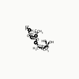 CCN(CC)c1ccc(NC(=O)c2cccc(CSC(C)(C)CCOC(C)(C)CCC(=O)N(CCO)CCO)c2)c(-c2cc(C(=O)NCc3cccc(C(F)(F)F)c3)ccn2)c1